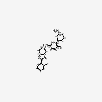 Cc1cccnc1-c1nc2cc(Nc3ccc(C)c(N4CCC[C@H](N)C4)n3)ncc2s1